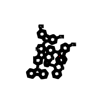 N#Cc1ccc2c(c1)c1cc(C#N)ccc1n2-c1cnc2c(c1)C1(c3cc(-n4c5ccccc5c5ccccc54)cnc3-2)c2cccc(N3c4ccccc4Oc4ccccc43)c2Oc2c(-n3c4ccccc4c4cc(C#N)ccc43)cccc21